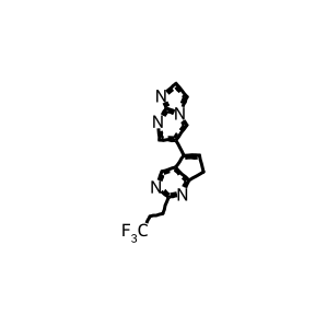 FC(F)(F)CCc1ncc2c(n1)CC=C2c1cnc2nccn2c1